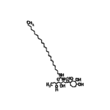 CCCCCCCCCCCCCCCCCCCCCCCCNC(=O)NC(COC1CCCC(O)C(O)C1O)C(O)CC(O)CC